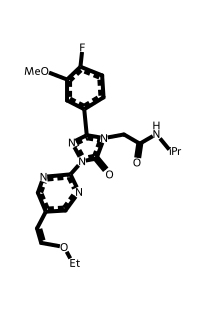 CCO/C=C\c1cnc(-n2nc(-c3ccc(F)c(OC)c3)n(CC(=O)NC(C)C)c2=O)nc1